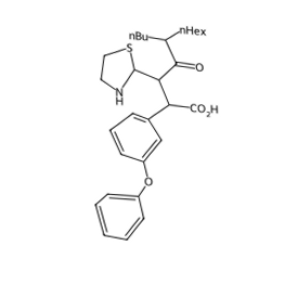 CCCCCCC(CCCC)C(=O)C(C1NCCS1)C(C(=O)O)c1cccc(Oc2ccccc2)c1